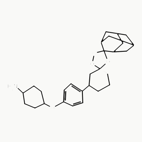 NC1CCC(Oc2ccc(C3CCC[C@]4(C3)OOC3(O4)C4CC5CC(C4)CC3C5)cc2)CC1